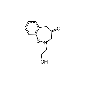 O=C1Cc2ccccc2SN(CCO)C1